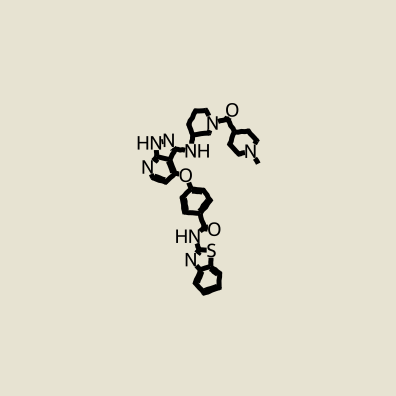 CN1CCC(C(=O)N2CCCC(Nc3n[nH]c4nccc(Oc5ccc(C(=O)Nc6nc7ccccc7s6)cc5)c34)C2)CC1